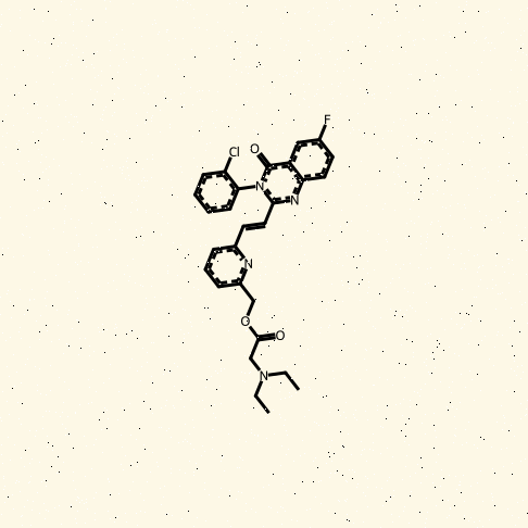 CCN(CC)CC(=O)OCc1cccc(C=Cc2nc3ccc(F)cc3c(=O)n2-c2ccccc2Cl)n1